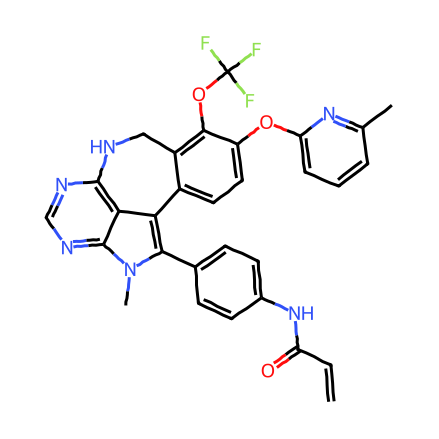 C=CC(=O)Nc1ccc(-c2c3c4c(ncnc4n2C)NCc2c-3ccc(Oc3cccc(C)n3)c2OC(F)(F)F)cc1